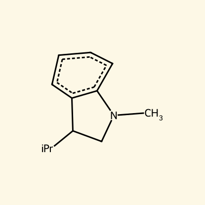 CC(C)C1CN(C)c2ccccc21